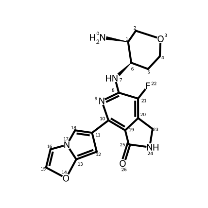 N[C@H]1COCC[C@H]1Nc1nc(-c2cc3occn3c2)c2c(c1F)CNC2=O